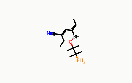 C/C=C(BOC(C)(C)C(C)(C)P)\C=C(\C#N)CC